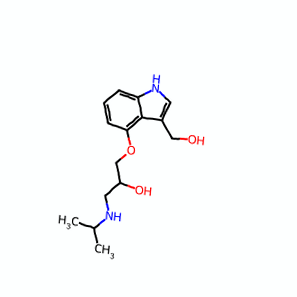 CC(C)NCC(O)COc1cccc2[nH]cc(CO)c12